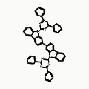 c1ccc(-c2cc(-c3ccccc3)nc(-n3c4ccccc4c4ccc(-c5ccc6c7ccccc7n(-c7nc(-c8ccccc8)nc(-c8ccccc8)n7)c6c5)cc43)n2)cc1